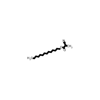 C=C(C#N)C(=O)OCCCCCCCCCCCCCC